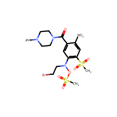 CC(C)N1CCN(C(=O)c2cc(N(CCBr)OS(C)(=O)=O)c(S(C)(=O)=O)cc2[N+](=O)[O-])CC1